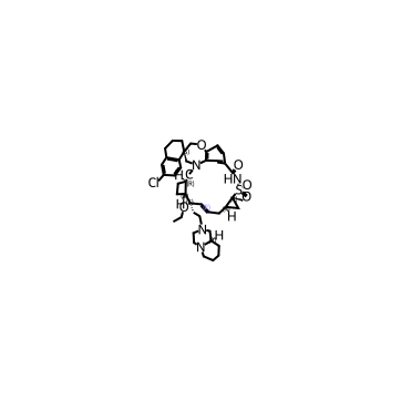 CCO[C@]1(CCN2CCN3CCCC[C@@H]3C2)/C=C/C[C@@H]2C[C@@]2(C)S(=O)(=O)NC(=O)c2ccc3c(c2)N(C[C@@H]2CC[C@H]21)C[C@@]1(CCCc2cc(Cl)ccc21)CO3